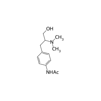 CC(=O)Nc1ccc(CC(CO)N(C)C)cc1